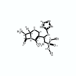 CCOP(=O)(CC(Sc1nnn[nH]1)C1=C(C(=O)O)N2C(=O)[C@@H](N)[C@@H]2SC1)OCC